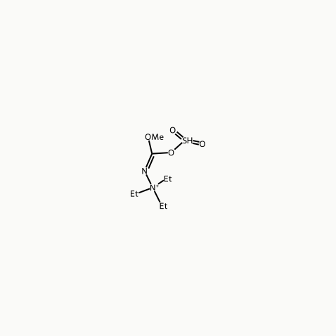 CC[N+](CC)(CC)N=C(OC)O[SH](=O)=O